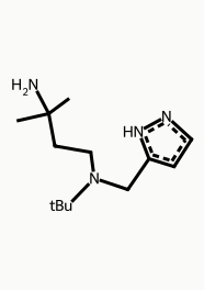 CC(C)(N)CCN(Cc1ccn[nH]1)C(C)(C)C